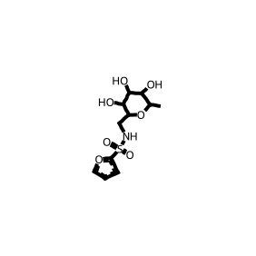 CC1OC(CNS(=O)(=O)c2ccco2)C(O)C(O)C1O